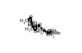 CO[Si](C)(C)O[Si](C)(C)CCCOCCOC(=O)NC1CC(C)(C)CC(C)(CNC(=O)Nc2cc(=O)cc(C)[nH]2)C1